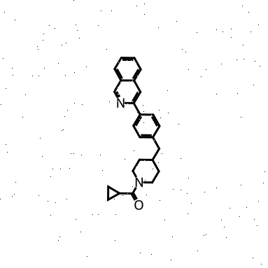 O=C(C1CC1)N1CCC(Cc2ccc(-c3cc4ccccc4cn3)cc2)CC1